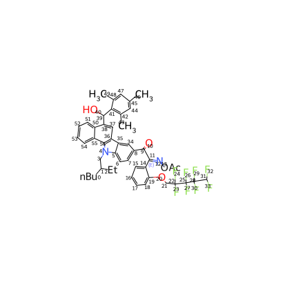 CCCCC(CC)Cn1c2ccc(C(=O)/C(=N/OC(C)=O)c3ccccc3OCC(F)(F)C(F)(F)C(F)(F)C(F)F)cc2c2cc(C(O)c3c(C)cc(C)cc3C)c3ccccc3c21